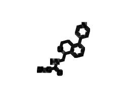 COC(=O)NCC1OCCc2c(-c3ccncc3)cccc21